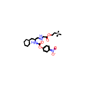 C[Si](C)(C)CCOC(=O)CNCC(CC1CCCCC1)NC(=O)Oc1ccc([N+](=O)[O-])cc1